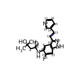 CC(C)(O)CC(=O)Nc1cc2c(/C=C/c3cccnc3)n[nH]c2cc1F